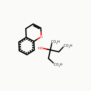 C1=COc2ccccc2C1.O=C(O)CC(O)(CC(=O)O)C(=O)O